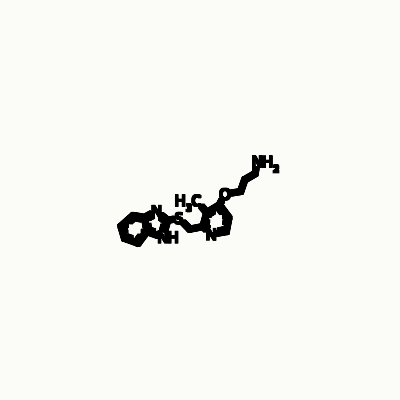 Cc1c(OCCCN)ccnc1CSc1nc2ccccc2[nH]1